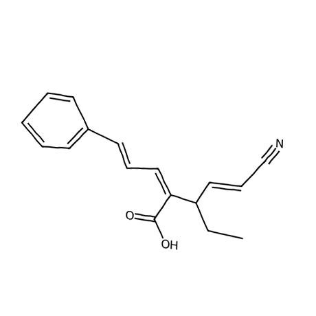 CCC(C=CC#N)C(=CC=Cc1ccccc1)C(=O)O